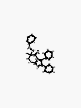 CC1(N=Nc2ccccc2)CSc2nc(-c3ccccc3)c(-c3ccccc3)n2C1=O